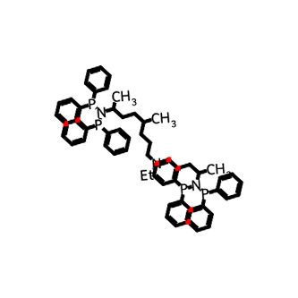 CCN(CCCC(C)CCC(C)N(P(c1ccccc1)c1ccccc1)P(c1ccccc1)c1ccccc1)CCCC(C)N(P(c1ccccc1)c1ccccc1)P(c1ccccc1)c1ccccc1